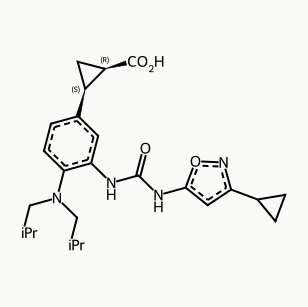 CC(C)CN(CC(C)C)c1ccc([C@H]2C[C@H]2C(=O)O)cc1NC(=O)Nc1cc(C2CC2)no1